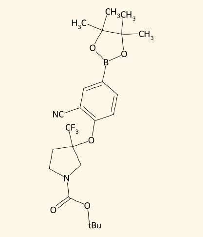 CC(C)(C)OC(=O)N1CCC(Oc2ccc(B3OC(C)(C)C(C)(C)O3)cc2C#N)(C(F)(F)F)C1